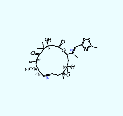 C/C(=C\c1csc(C)n1)C1C[C@@H]2O[C@]2(C)C/C=C/[C@H](C)[C@H](O)[C@@H](C)C(=O)C(C)(C)[C@@H](O)CC(=O)O1